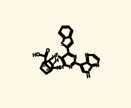 O=C(O)[C@H]1C2CCC(CC2)[C@@H]1Nc1nc(-c2c[nH]c3nccnc23)nc(-c2cc3ccccc3s2)c1F